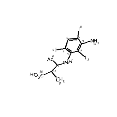 CC(=O)C(Nc1c(I)cc(I)c(N)c1I)C(C)C(=O)O